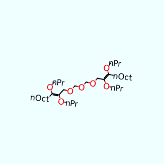 CCCCCCCCC(OCCC)=C(COCOCOCC(OCCC)=C(CCCCCCCC)OCCC)OCCC